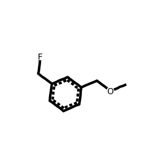 COCc1cccc(CF)c1